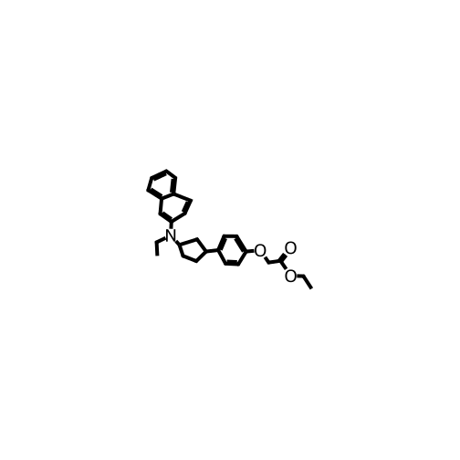 CCOC(=O)COc1ccc(C2CCC(N(CC)c3ccc4ccccc4c3)C2)cc1